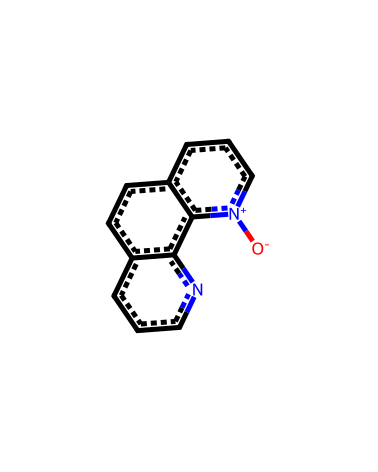 [O-][n+]1cccc2ccc3cccnc3c21